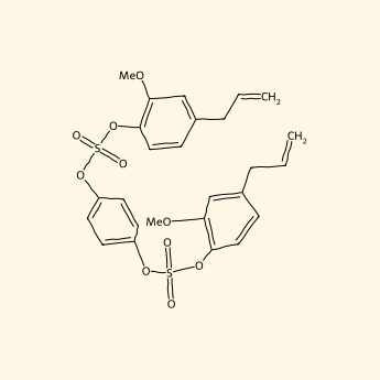 C=CCc1ccc(OS(=O)(=O)Oc2ccc(OS(=O)(=O)Oc3ccc(CC=C)cc3OC)cc2)c(OC)c1